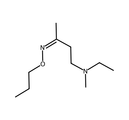 CCCO/N=C(/C)CCN(C)CC